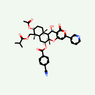 CC(=O)O[C@H]1CC[C@@]2(C)C(C[C@H](OC(=O)c3ccc(C#N)cc3)[C@@]3(C)Oc4cc(-c5cccnc5)oc(=O)c4[C@H](O)C23)[C@]1(C)COC(=O)C(C)C